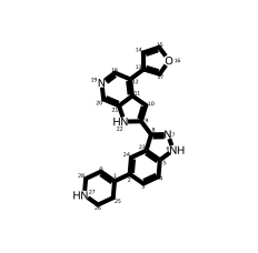 C1=C(c2ccc3[nH]nc(-c4cc5c(-c6ccoc6)cncc5[nH]4)c3c2)CCNC1